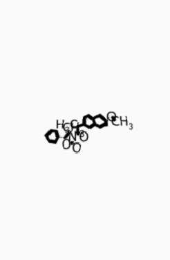 COc1ccc2cc([C@H](C)C(=O)N3C(=O)O[C@H](c4ccccc4)[C@@H]3C)ccc2c1